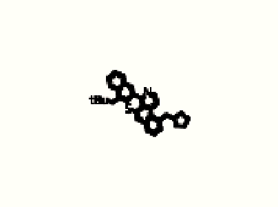 CC(C)(C)Cc1c2c(cc3ccccc13)-c1nccc3c1c(cc1cccc(CC4CCCC4)c13)S2